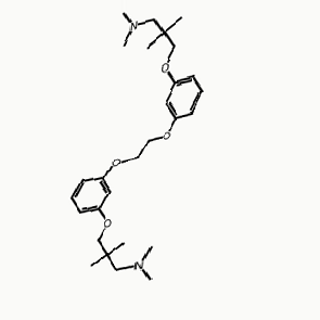 CN(C)CC(C)(C)COc1cccc(OCCOc2cccc(OCC(C)(C)CN(C)C)c2)c1